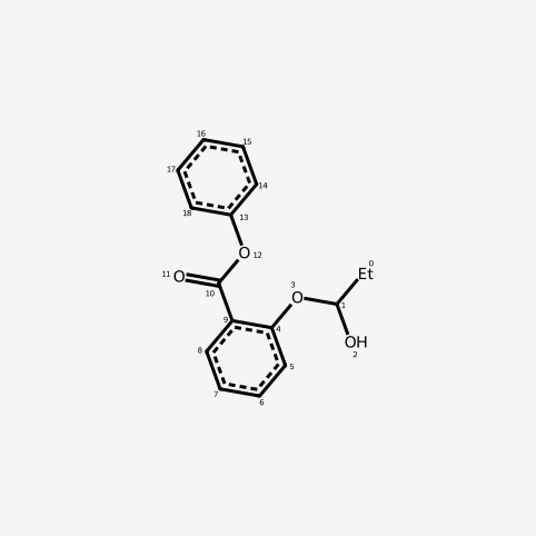 CCC(O)Oc1ccccc1C(=O)Oc1ccccc1